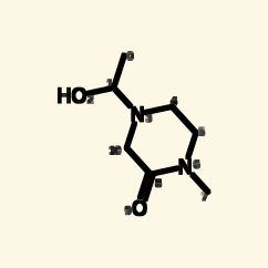 CC(O)N1CCN(C)C(=O)C1